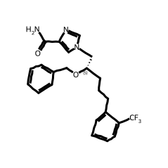 NC(=O)c1cn(C[C@H](CCCc2ccccc2C(F)(F)F)OCc2ccccc2)cn1